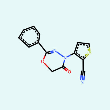 N#Cc1sccc1N1N=C(c2ccccc2)OCC1=O